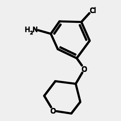 Nc1cc(Cl)cc(OC2CCOCC2)c1